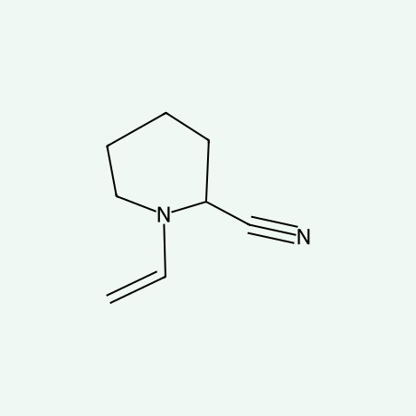 C=CN1CCCCC1C#N